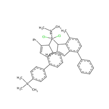 CC1=Cc2c(-c3ccccc3)ccc(C)c2[CH]1[Zr]([Cl])([Cl])([CH]1C(C(C)C)=Cc2c(-c3ccc([Si](C)(C)C)cc3)cccc21)[SiH](C)C